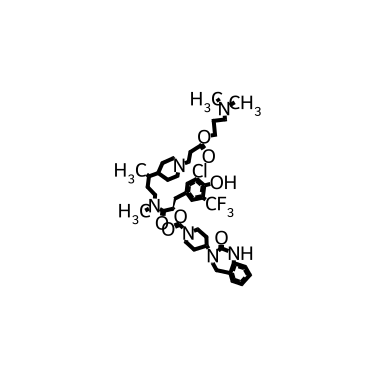 CC(CCN(C)C(=O)[C@@H](Cc1cc(Cl)c(O)c(C(F)(F)F)c1)OC(=O)N1CCC(N2CCc3ccccc3NC2=O)CC1)C1CCN(CCC(=O)OCCCN(C)C)CC1